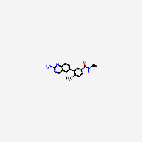 CCC(C)NC(=O)c1ccc(C)c(-c2ccc3nc(N)ncc3c2)c1